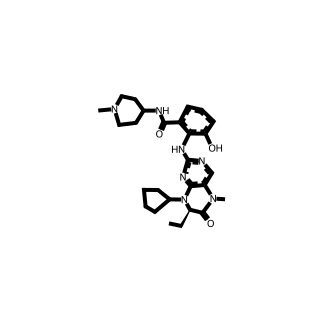 CC[C@@H]1C(=O)N(C)c2cnc(Nc3c(O)cccc3C(=O)NC3CCN(C)CC3)nc2N1C1CCCC1